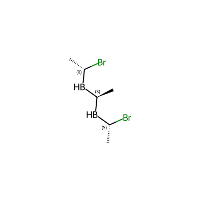 C[C@H](B[C@H](C)Br)B[C@@H](C)Br